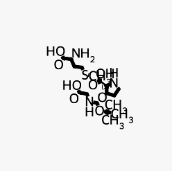 CC(C)(C)OC(=O)NCC(=O)O.CSCCC(N)C(=O)O.O=C(O)[C@@H]1CCCN1